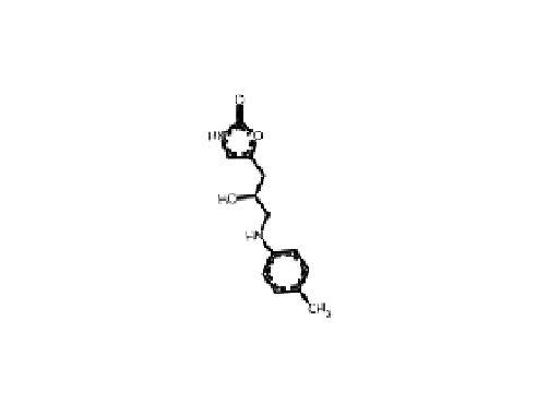 Cc1ccc(NCC(O)Cc2c[nH]c(=O)o2)cc1